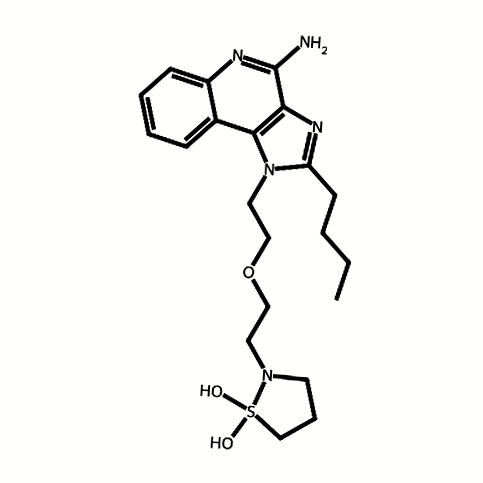 CCCCc1nc2c(N)nc3ccccc3c2n1CCOCCN1CCCS1(O)O